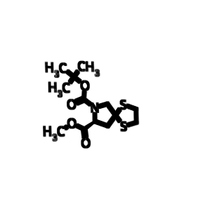 COC(=O)[C@@H]1CC2(CN1C(=O)OC(C)(C)C)SCCS2